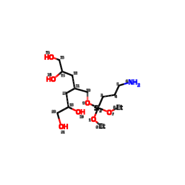 CCO[Si](CCCN)(OCC)OCC(CC(O)CO)CC(O)CO